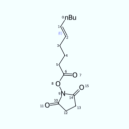 CCCC/C=C/CCCC(=O)ON1C(=O)CCC1=O